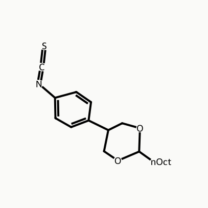 CCCCCCCCC1OCC(c2ccc(N=C=S)cc2)CO1